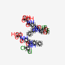 COC(CNC(=O)c1ccc(CN(C(=O)Nc2cc(Cl)cc(Cl)c2)c2ccc(C3=CCCCC3)cc2)cc1)C(=O)O.O=C(NC[C@@H](O)C(=O)O)c1ccc(CN(C(=O)Nc2ccc3c(c2)C(F)(F)OC(F)(F)O3)c2ccc(C3=CCCCC3)cc2)cc1